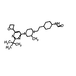 CC1CN(c2cc(C3CCO3)nc(C(C)(C)C)n2)CCN1CCC1CCC(NC=O)CC1